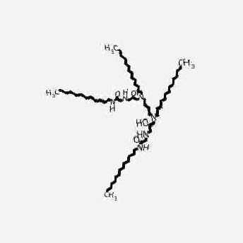 CCCCCCCCCCCCCCNC(=O)CNCC(O)CN(CCCCCCCCCCCCCC)CCCCN(CCCCCCCCCCCCCC)CC(O)CNCC(=O)NCCCCCCCCCCCC